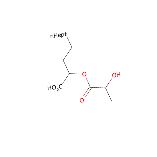 CCCCCCCCCC(OC(=O)C(C)O)C(=O)O